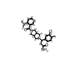 Cc1ccc(C(CC(N)=O)N2CC3CN(C(=O)c4cnccc4N(C)C)CC3C2)cc1Cl